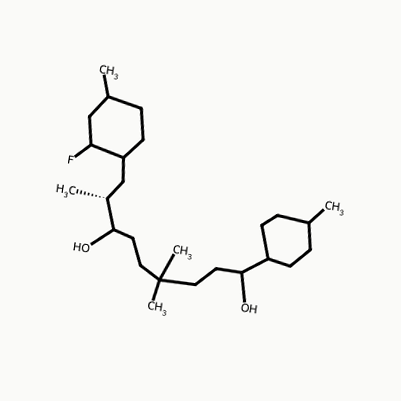 CC1CCC(C(O)CCC(C)(C)CCC(O)[C@H](C)CC2CCC(C)CC2F)CC1